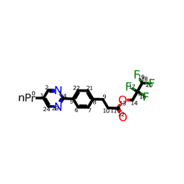 CCCc1cnc(-c2ccc(CCC(=O)OCC(F)(F)C(F)F)cc2)nc1